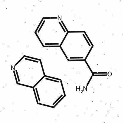 NC(=O)c1ccc2ncccc2c1.c1ccc2cnccc2c1